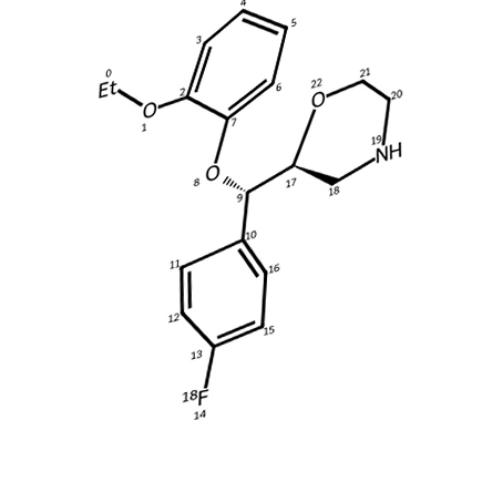 CCOc1ccccc1O[C@@H](c1ccc([18F])cc1)[C@@H]1CNCCO1